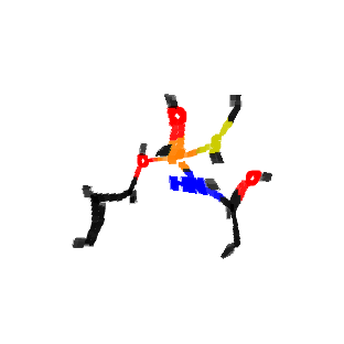 C=CCOP(=O)(NC(C)=O)SC